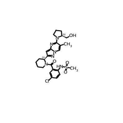 Cc1cn2nc([C@@H]3CCCCN3C(=O)c3cc(Cl)ccc3NS(C)(=O)=O)cc2nc1N1CCC[C@H]1CO